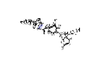 CC(C)(C)NS(=O)(=O)/N=C/c1cc2cc(COc3ccccc3CC(=O)O)cc(I)c2o1